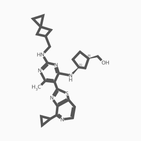 Cc1nc(NCC2CC3(CC3)C2)nc(N[C@H]2CC[C@@H](CO)C2)c1-c1nc2c(C3CC3)nccc2s1